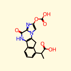 CC(C(=O)O)c1cccc2c1Cc1c-2[nH]c(=O)c2nc(OC(=O)O)cn12